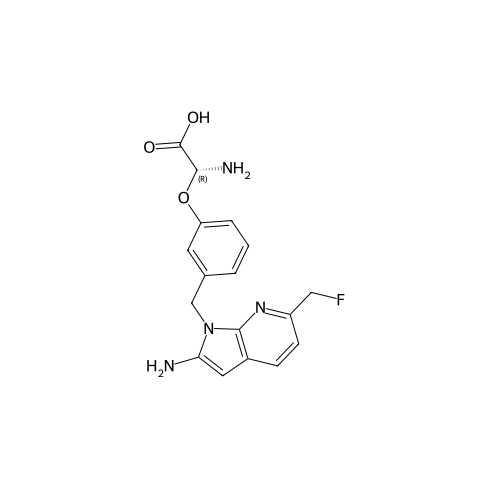 Nc1cc2ccc(CF)nc2n1Cc1cccc(O[C@@H](N)C(=O)O)c1